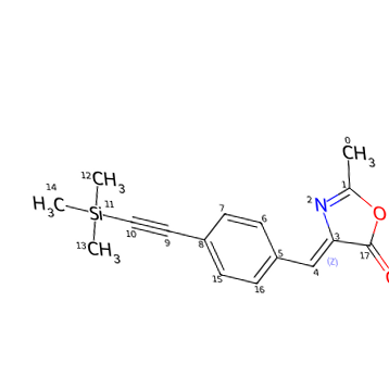 CC1=N/C(=C\c2ccc(C#C[Si](C)(C)C)cc2)C(=O)O1